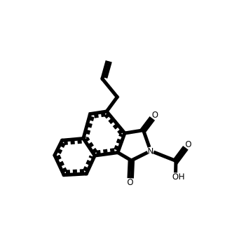 C=CCc1cc2ccccc2c2c1C(=O)N(C(=O)O)C2=O